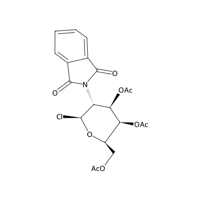 CC(=O)OC[C@H]1O[C@@H](Cl)[C@H](N2C(=O)c3ccccc3C2=O)[C@@H](OC(C)=O)[C@H]1OC(C)=O